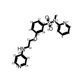 CN(c1ccccn1)S(=O)(=O)c1cccc(OCCNc2ccncc2)c1